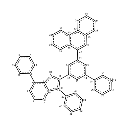 c1ccc(-c2ccnc3c2nc(-c2cc(-c4cccnc4)cc(-c4cc5ccccc5c5ccccc45)c2)n3-c2ccccc2)cc1